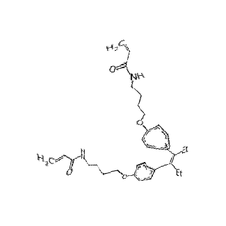 C=CC(=O)NCCCCOc1ccc(C(CC)=C(CC)c2ccc(OCCCCNC(=O)C=C)cc2)cc1